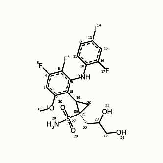 COc1cc(F)c(F)c(Nc2ccc(I)cc2F)c1C1C[C@@]1(CC(O)CO)S(N)(=O)=O